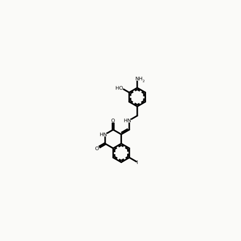 Nc1ccc(CNC=C2C(=O)NC(=O)c3ccc(I)cc32)cc1O